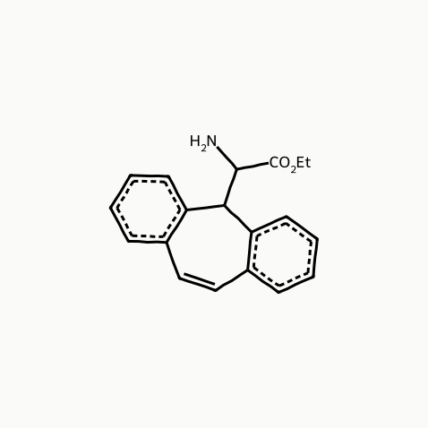 CCOC(=O)C(N)C1c2ccccc2C=Cc2ccccc21